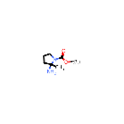 CC(C)(C)OC(=O)N1CCCC1(C)N